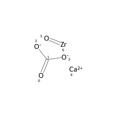 O=C([O-])[O-].[Ca+2].[O]=[Zr]